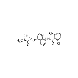 CN(C)C(=O)COc1ccnc2c(NC(=O)c3c(Cl)cccc3Cl)cccc12